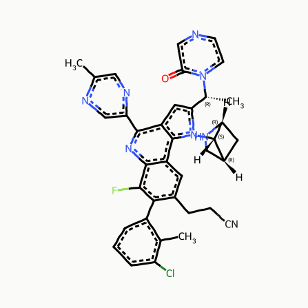 Cc1cnc(-c2nc3c(F)c(-c4cccc(Cl)c4C)c(CCC#N)cc3c3c2cc([C@@H](C)n2ccncc2=O)n3[C@H]2[C@H]3CN[C@@H]2C3)cn1